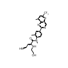 Cc1cc(-c2ncc3nc(C(F)(F)F)cc(C)c3n2)ccc1N(C)C(=O)/C(=C/C=N)NCCO